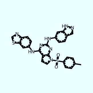 Cc1ccc(S(=O)(=O)n2ccc3c(Nc4ccc5ncsc5c4)nc(Nc4ccc5cn[nH]c5c4)nc32)cc1